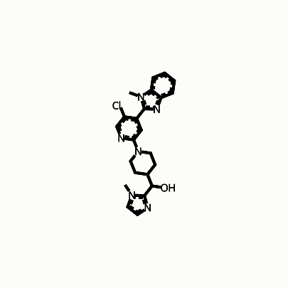 Cn1ccnc1C(O)C1CCN(c2cc(-c3nc4ccccc4n3C)c(Cl)cn2)CC1